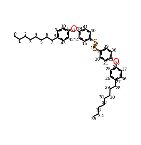 CCCCCCCCc1ccc(Oc2ccc(SSc3ccc(Oc4ccc(CCCCCCCC)cc4)cc3)cc2)cc1